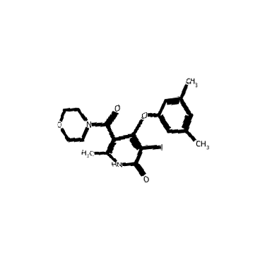 Cc1cc(C)cc(Oc2c(C(=O)N3CCOCC3)c(C)[nH]c(=O)c2I)c1